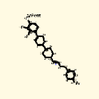 CCCCCOc1ccc(C2=CCC(C3CCC(/C=C/CCc4ccc(CCC)cc4)CC3)CC2)c(F)c1F